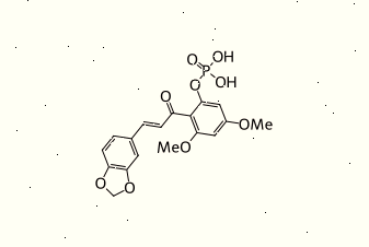 COc1cc(OC)c(C(=O)C=Cc2ccc3c(c2)OCO3)c(OP(=O)(O)O)c1